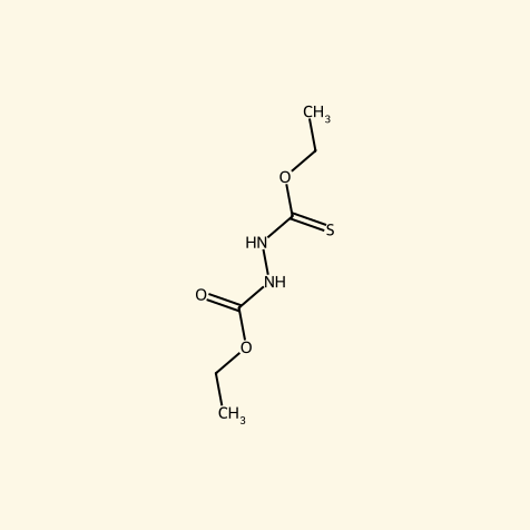 CCOC(=O)NNC(=S)OCC